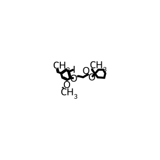 C=Cc1cc(I)c(OCCC(=O)OC2(CC)CCCCC2)c(OCC)c1